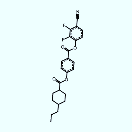 CCCC1CCC(C(=O)Oc2ccc(C(=O)Oc3ccc(C#N)c(F)c3F)cc2)CC1